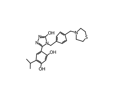 CC(C)c1cc(-c2nnc(O)n2Cc2ccc(CN3CCSCC3)cc2)c(O)cc1O